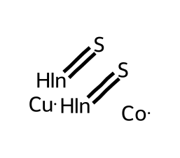 [Co].[Cu].[S]=[InH].[S]=[InH]